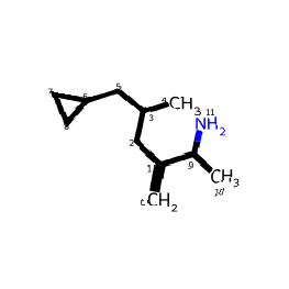 C=C(CC(C)CC1CC1)C(C)N